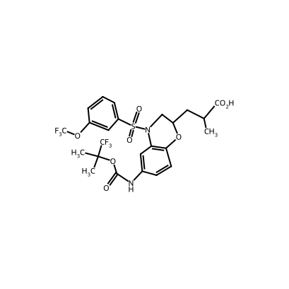 CC(CC1CN(S(=O)(=O)c2cccc(OC(F)(F)F)c2)c2cc(NC(=O)OC(C)(C)C(F)(F)F)ccc2O1)C(=O)O